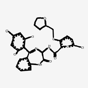 O=C(NC1N=C(c2c(Cl)cc(Cl)cc2Cl)c2ccccc2NC1=O)c1cc(Cl)ccc1OCC1CCCO1